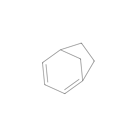 C1=CC2CCC(=C1)C2